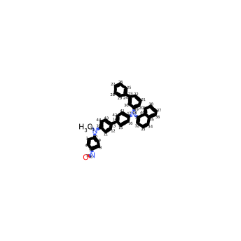 CN(c1ccc(N=O)cc1)c1ccc(-c2ccc(N(c3cccc(-c4ccccc4)c3)c3cccc4ccccc34)cc2)cc1